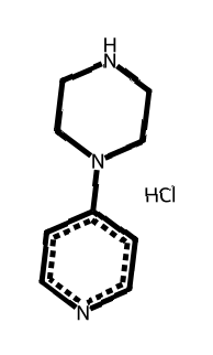 Cl.c1cc(N2CCNCC2)ccn1